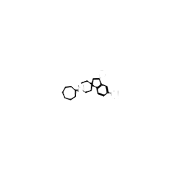 O=C1CC2(CCN(C3CCCCCC3)CC2)c2ccc(Cl)cc21